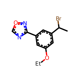 CCOc1cc(-c2ncon2)cc(C(C)Br)c1